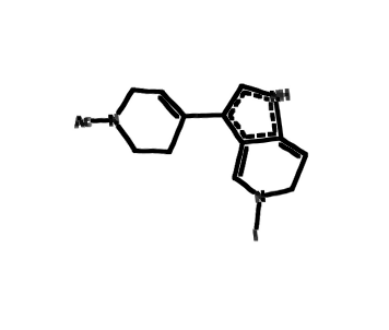 CC(=O)N1CC=C(c2c[nH]c3c2=CN(I)CC=3)CC1